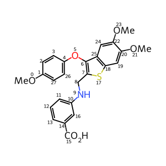 COc1ccc(Oc2c(CNc3cccc(C(=O)O)c3)sc3cc(OC)c(OC)cc23)cc1